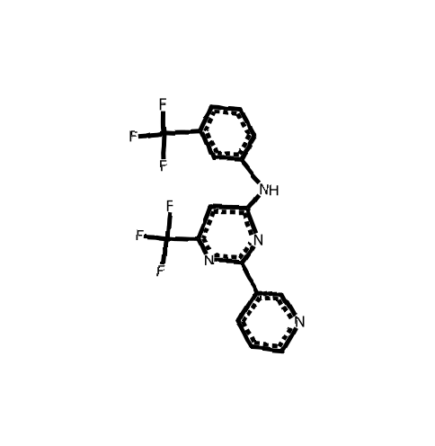 FC(F)(F)c1cccc(Nc2cc(C(F)(F)F)nc(-c3cccnc3)n2)c1